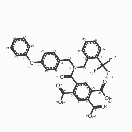 O=C(O)c1cc(C(=O)O)c(C(=O)N(Cc2ccc(Oc3ccccc3)cc2)Cc2ccccc2C(F)(F)F)cc1C(=O)O